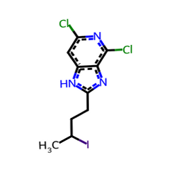 CC(I)CCc1nc2c(Cl)nc(Cl)cc2[nH]1